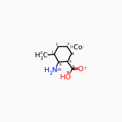 CC1CCCC(C(=O)O)C1N.[Co]